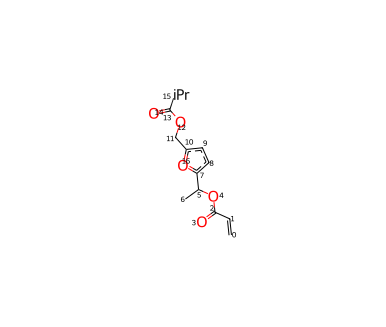 C=CC(=O)OC(C)c1ccc(COC(=O)C(C)C)o1